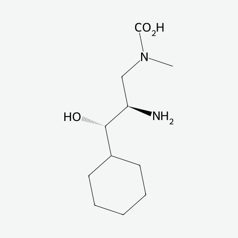 CN(C[C@@H](N)[C@@H](O)C1CCCCC1)C(=O)O